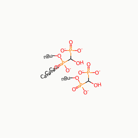 CCCCOP(=O)([O-])C(O)P(=O)([O-])[O-].CCCCOP(=O)([O-])C(O)P(=O)([O-])[O-].[Ca+2].[Ca+2].[Ca+2]